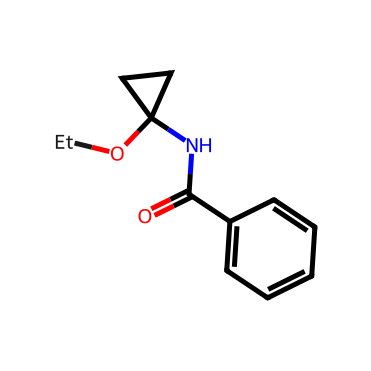 CCOC1(NC(=O)c2ccccc2)CC1